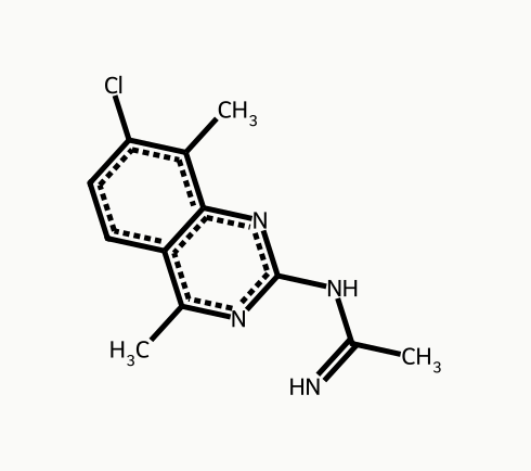 CC(=N)Nc1nc(C)c2ccc(Cl)c(C)c2n1